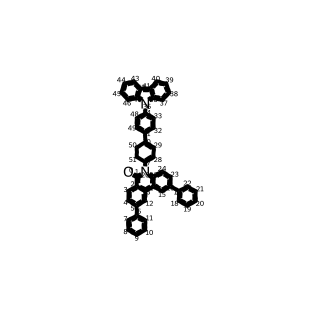 O=c1c2ccc(-c3ccccc3)cc2c2cc(-c3ccccc3)ccc2n1C1=CC=C(c2ccc(-n3c4ccccc4c4ccccc43)cc2)CC1